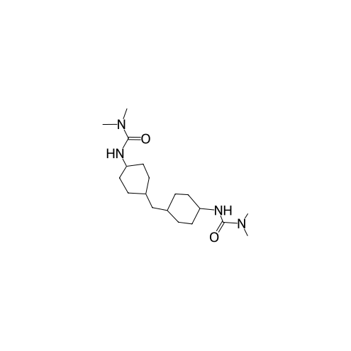 CN(C)C(=O)NC1CCC(CC2CCC(NC(=O)N(C)C)CC2)CC1